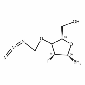 B[C@@H]1O[C@H](CO)C(OCN=[N+]=[N-])[C@@H]1F